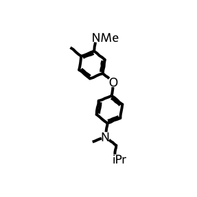 CNc1cc(Oc2ccc(N(C)CC(C)C)cc2)ccc1C